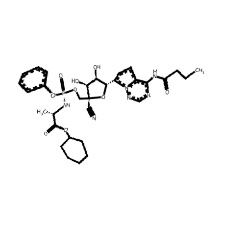 CCCC(=O)Nc1ncnn2c([C@@H]3O[C@](C#N)(CO[P@@](=O)(N[C@@H](C)C(=O)OC4CCCCC4)Oc4ccccc4)[C@@H](O)[C@H]3O)ccc12